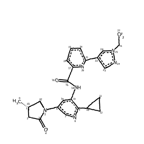 C[C@H]1CC(=O)N(c2cnc(C3CC3)c(NC(=O)c3cccc(-c4cnn(CC(F)(F)F)c4)n3)c2)C1